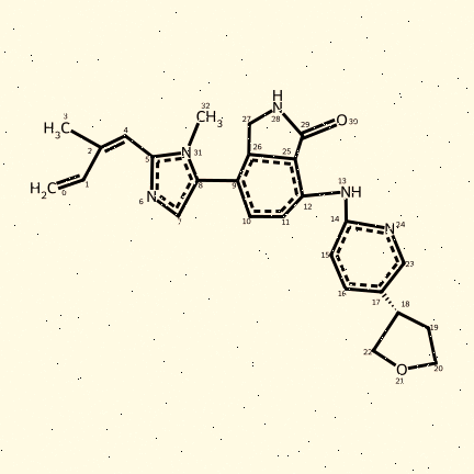 C=C/C(C)=C\c1ncc(-c2ccc(Nc3ccc([C@@H]4CCOC4)cn3)c3c2CNC3=O)n1C